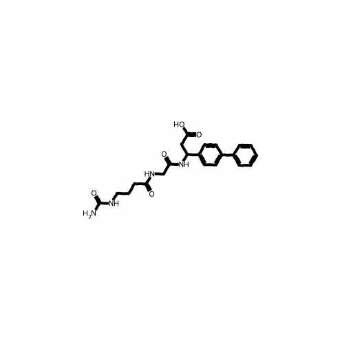 NC(=O)NCCCC(=O)NCC(=O)NC(CC(=O)O)c1ccc(-c2ccccc2)cc1